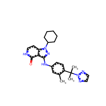 Cc1cc(Nc2nn(C3CCCCC3)c3cc[nH]c(=O)c23)ccc1C(C)(C)n1nccn1